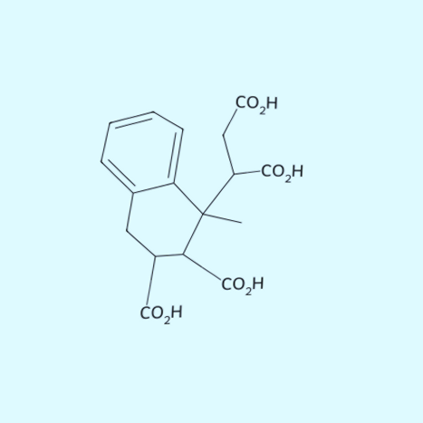 CC1(C(CC(=O)O)C(=O)O)c2ccccc2CC(C(=O)O)C1C(=O)O